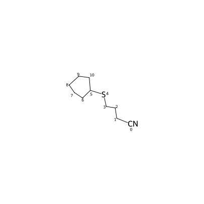 N#CCCCSC1CCCCC1